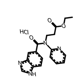 CCOC(=O)CCN(C(=O)c1ccc2[nH]cnc2c1)c1ccccn1.Cl